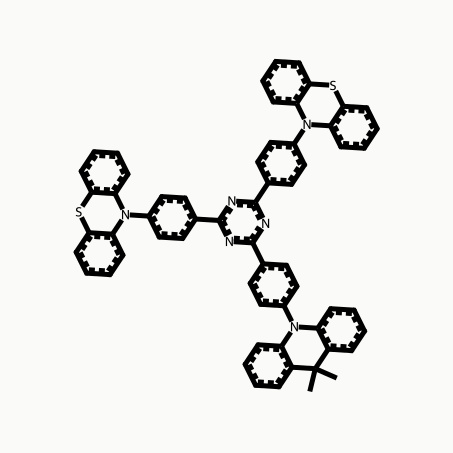 CC1(C)c2ccccc2N(c2ccc(-c3nc(-c4ccc(N5c6ccccc6Sc6ccccc65)cc4)nc(-c4ccc(N5c6ccccc6Sc6ccccc65)cc4)n3)cc2)c2ccccc21